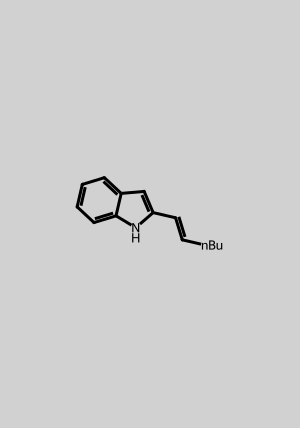 CCCCC=Cc1cc2ccccc2[nH]1